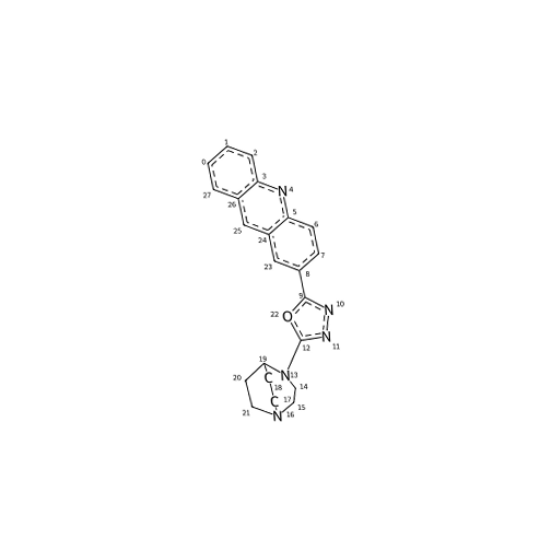 c1ccc2nc3ccc(-c4nnc(N5CCN6CCC5CC6)o4)cc3cc2c1